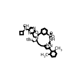 Cc1cccc(C)c1-c1cc2nc(n1)NS(=O)(=O)c1cccc(c1)C(=O)N(Cc1cncc(N(C)C3CCC3)n1)[C@H](CC(C)(C)C)CC2